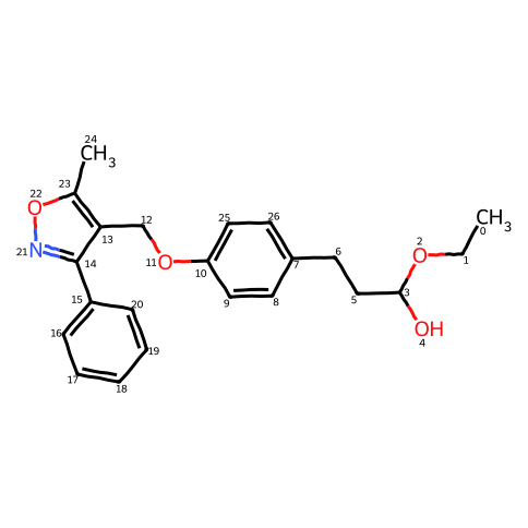 CCOC(O)CCc1ccc(OCc2c(-c3ccccc3)noc2C)cc1